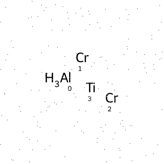 [AlH3].[Cr].[Cr].[Ti]